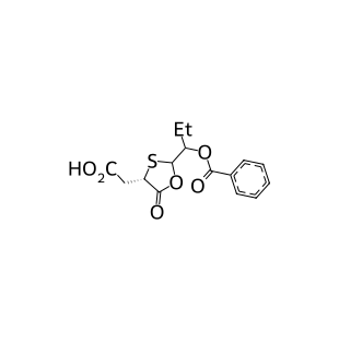 CCC(OC(=O)c1ccccc1)C1OC(=O)[C@H](CC(=O)O)S1